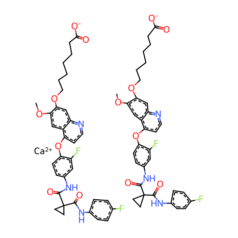 COc1cc2c(Oc3ccc(NC(=O)C4(C(=O)Nc5ccc(F)cc5)CC4)cc3F)ccnc2cc1OCCCCCCC(=O)[O-].COc1cc2c(Oc3ccc(NC(=O)C4(C(=O)Nc5ccc(F)cc5)CC4)cc3F)ccnc2cc1OCCCCCCC(=O)[O-].[Ca+2]